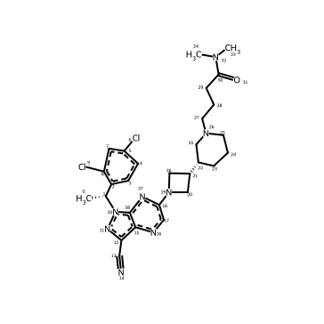 C[C@H](c1ccc(Cl)cc1Cl)n1nc(C#N)c2ncc(N3CC([C@H]4CCCN(CCCC(=O)N(C)C)C4)C3)nc21